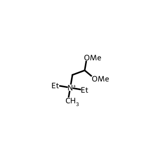 CC[N+](C)(CC)CC(OC)OC